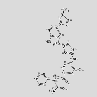 Cn1cc(-c2cnc3[nH]cc(-c4nnc(Nc5ccc(C(=O)NC(C(N)=O)c6ccccc6)cc5Cl)o4)c3c2)cn1